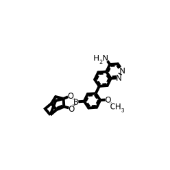 COc1ccc(B2OC3=C4C5CC4CC3(C5)O2)cc1-c1ccc2c(N)cnnc2c1